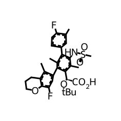 Cc1cc(-c2c(C)c(-c3cc(F)c4c(c3C)CCCO4)c([C@H](OC(C)(C)C)C(=O)O)c(C)c2NS(C)(=O)=O)ccc1F